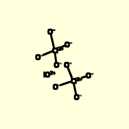 [O+2].[O-][Cl+3]([O-])([O-])[O-].[O-][Cl+3]([O-])([O-])[O-]